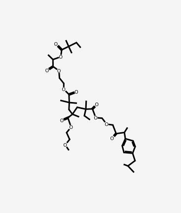 CCC(C)(C)C(=O)OC(C)C(=O)OCCOC(=O)C(C)(C)CC(C)(CC(C)(CC)C(=O)OCOCC(=O)C(C)c1ccc(CC(C)C)cc1)C(=O)OCCOC